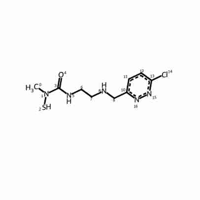 CN(S)C(=O)NCCNCc1ccc(Cl)nn1